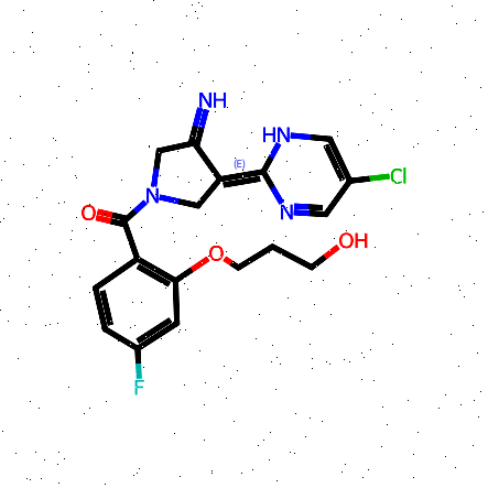 N=C1CN(C(=O)c2ccc(F)cc2OCCCO)C/C1=C1\N=CC(Cl)=CN1